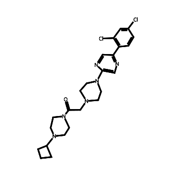 O=C(CN1CCN(c2cnc(-c3ccc(Cl)cc3Cl)cn2)CC1)N1CCN(C2CCC2)CC1